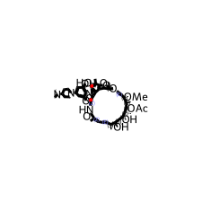 CO[C@H]1/C=C/O[C@@]2(C)Oc3c(C)c(O)c4c(c3C2=O)C2=Nc3c(O)cc(N5CCC(N(C)C)CC5)cc3O/C2=C(/COC4)NC(=O)/C(C)=C\C=C\[C@H](C)[C@H](O)[C@@H](C)[C@@H](O)[C@@H](C)[C@H](OC(C)=O)[C@@H]1C